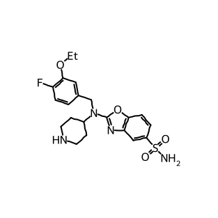 CCOc1cc(CN(c2nc3cc(S(N)(=O)=O)ccc3o2)C2CCNCC2)ccc1F